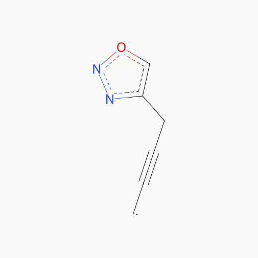 [CH2]C#CCc1conn1